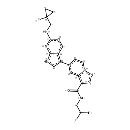 O=C(NCC(F)F)c1cnn2ccc(-c3c[nH]c4nc(NCC5(F)CC5)ncc34)cc12